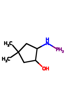 CC1(C)CC(O)C(NP)C1